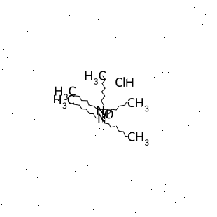 CCCCCCCC[N](CCCCCCCC)[Ti]([O]CCCCCC)[N](CCCCCCCC)CCCCCCCC.Cl